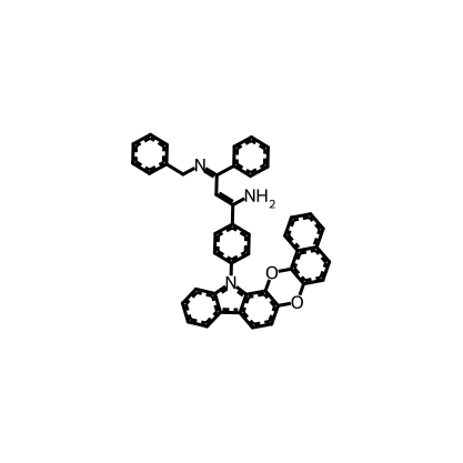 N/C(=C\C(=N/Cc1ccccc1)c1ccccc1)c1ccc(-n2c3ccccc3c3ccc4c(c32)Oc2c(ccc3ccccc23)O4)cc1